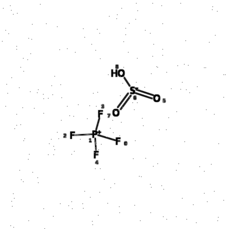 F[P+](F)(F)F.O=[S-](=O)O